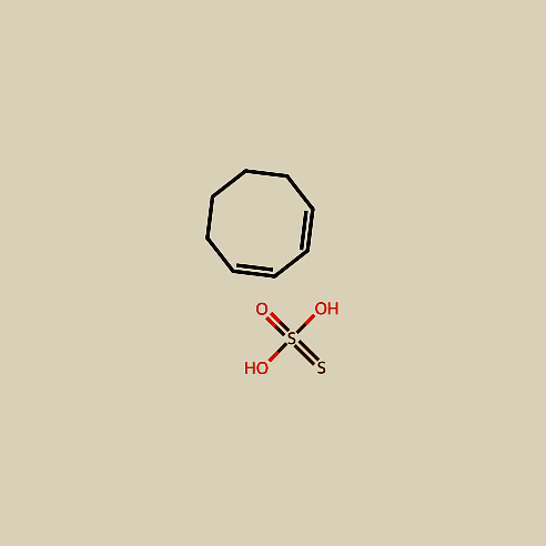 C1=CCCCCC=C1.O=S(O)(O)=S